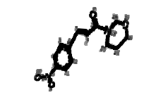 O=C(C=Cc1ccc([N+](=O)[O-])cc1)N1CCCOC1